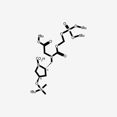 CC(C)(C)OC(=O)CN(C[C@@H]1C[C@@H](O[Si](C)(C)C(C)(C)C)CN1C(=O)O)C(=O)OCOP(=O)(OC(C)(C)C)OC(C)(C)C